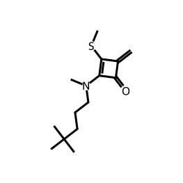 C=C1C(=O)C(N(C)CCCC(C)(C)C)=C1SC